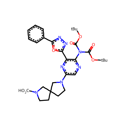 CC(C)(C)OC(=O)N(C(=O)OC(C)(C)C)c1ncc(N2CCC3(CCN(C(=O)O)C3)C2)nc1-c1nnc(-c2ccccc2)o1